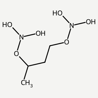 CC(CCON(O)O)ON(O)O